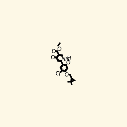 CCOC(=O)c1c[nH]c(-c2cc(Cl)c(OCC3CC3(C)C)cc2O)cc1=O